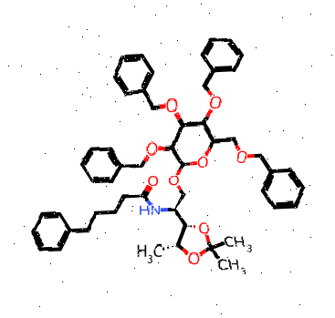 C[C@H]1OC(C)(C)O[C@H]1[C@H](COC1OC(COCc2ccccc2)C(OCc2ccccc2)C(OCc2ccccc2)C1OCc1ccccc1)NC(=O)CCCCc1ccccc1